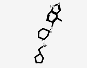 Cc1c(O[C@H]2CCC[C@@H](NCC3CCCC3)C2)ccc2[nH]ncc12